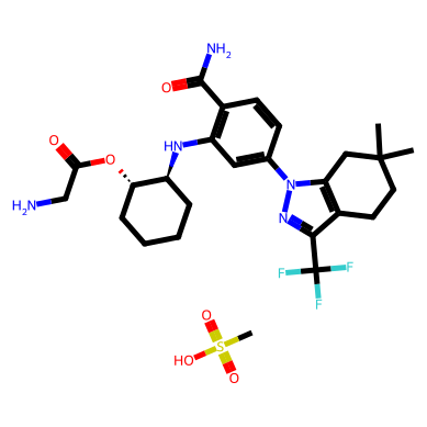 CC1(C)CCc2c(C(F)(F)F)nn(-c3ccc(C(N)=O)c(N[C@H]4CCCC[C@@H]4OC(=O)CN)c3)c2C1.CS(=O)(=O)O